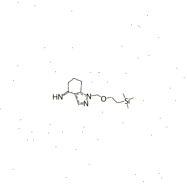 C[Si](C)(C)CCOCn1ncc2c1CCCC2=N